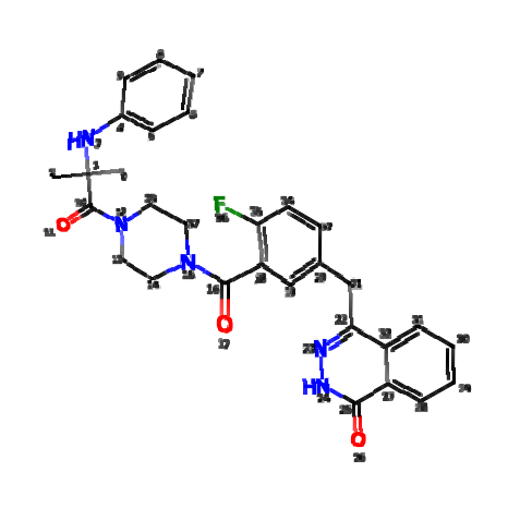 CC(C)(Nc1ccccc1)C(=O)N1CCN(C(=O)c2cc(Cc3n[nH]c(=O)c4ccccc34)ccc2F)CC1